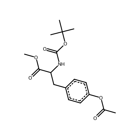 COC(=O)C(Cc1ccc(OC(C)=O)cc1)NC(=O)OC(C)(C)C